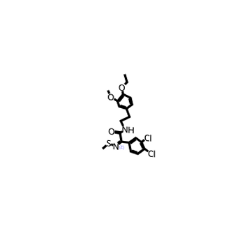 CCOc1ccc(CCNC(=O)/C(=N\SC)c2ccc(Cl)c(Cl)c2)cc1OC